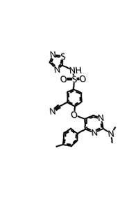 Cc1ccc(-c2nc(N(C)C)ncc2Oc2ccc(S(=O)(=O)Nc3ncns3)cc2C#N)cc1